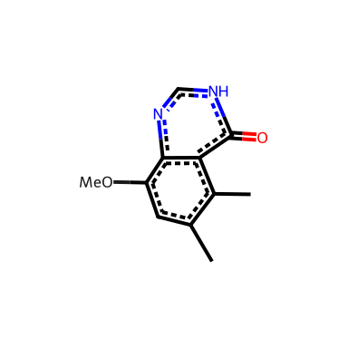 COc1cc(C)c(C)c2c(=O)[nH]cnc12